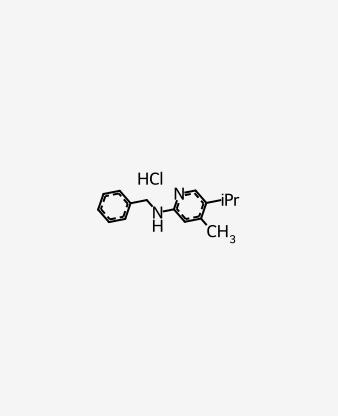 Cc1cc(NCc2ccccc2)ncc1C(C)C.Cl